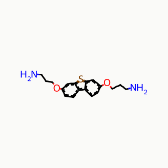 NCCCOc1ccc2c(c1)sc1cc(OCCCN)ccc12